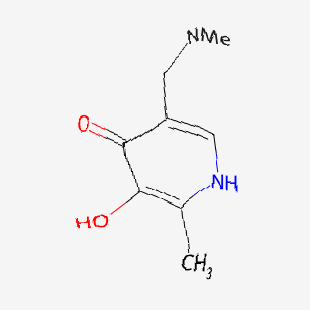 CNCc1c[nH]c(C)c(O)c1=O